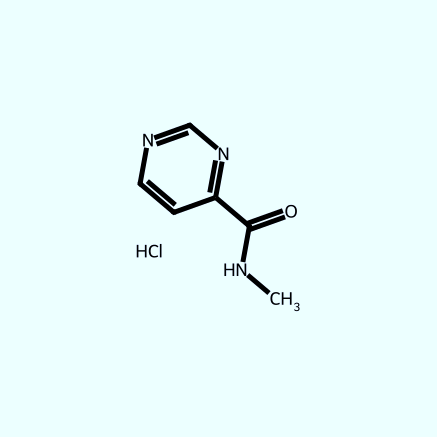 CNC(=O)c1ccncn1.Cl